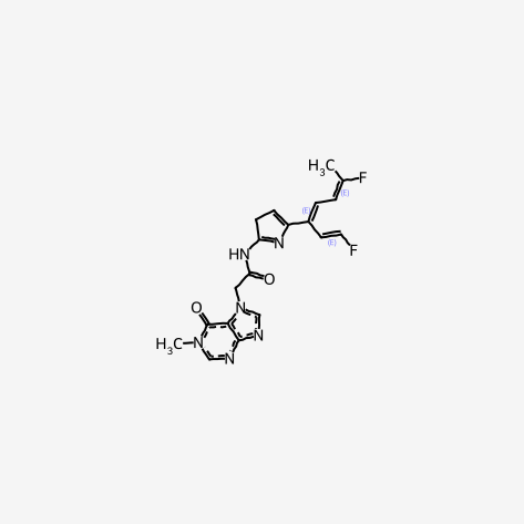 C\C(F)=C/C=C(\C=C\F)C1=CCC(NC(=O)Cn2cnc3ncn(C)c(=O)c32)=N1